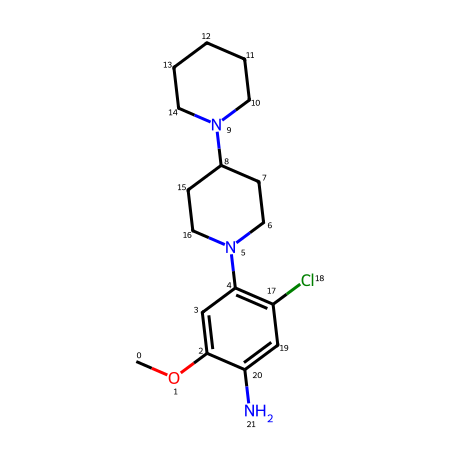 COc1cc(N2CCC(N3CCCCC3)CC2)c(Cl)cc1N